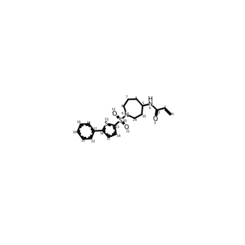 C=CC(=O)NC1CCCN(S(=O)(=O)c2ccc(-c3ccccc3)s2)CC1